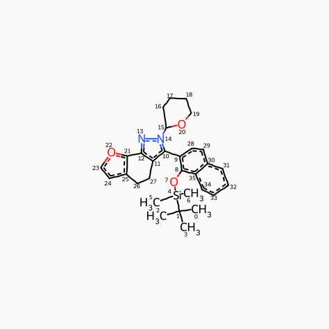 CC(C)(C)[Si](C)(C)Oc1c(-c2c3c(nn2C2CCCCO2)-c2occc2CC3)ccc2ccccc12